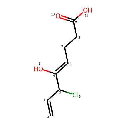 C=CC(Cl)C(O)=CCCC(=O)O